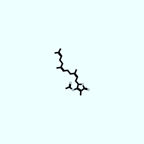 CC(=O)OC1=C(C)C(=O)OC1CC=C(C)CCC=C(C)CCC=C(C)C